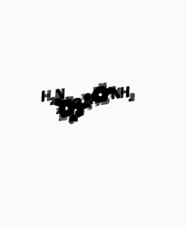 CN(CC(O)CN(C)C1CCC(CN)CC1)C1CCC(CN)CC1